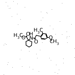 COC(=O)C1(NC(=O)Cc2ccc(OC)cc2C)CCCCC1